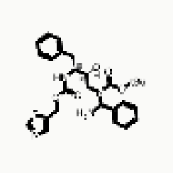 CC(C)(C)OC(=O)N(C[C@@H](O)[C@H](Cc1ccccc1)NC(=O)OCc1cncs1)C(N)c1ccccc1